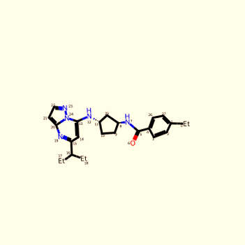 CCc1ccc(C(=O)N[C@H]2CC[C@H](Nc3cc(C(CC)CC)nc4ccnn34)C2)cc1